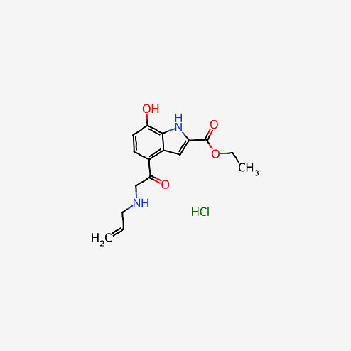 C=CCNCC(=O)c1ccc(O)c2[nH]c(C(=O)OCC)cc12.Cl